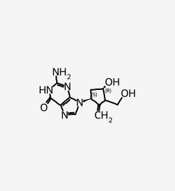 C=C1C(CO)[C@H](O)C[C@@H]1n1cnc2c(=O)[nH]c(N)nc21